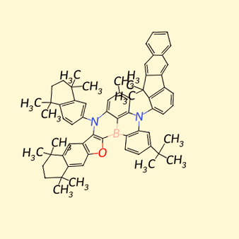 Cc1cc2c3c(c1)N(c1ccc4c(c1)C(C)(C)CCC4(C)C)c1c(oc4cc5c(cc14)C(C)(C)CCC5(C)C)B3c1ccc(C(C)(C)C)cc1N2c1cccc2c1C(C)(C)c1cc3ccccc3cc1-2